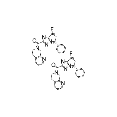 O=C(c1nc2n(n1)[C@@H](c1ccccc1)C[C@H]2F)N1CCc2cccnc2C1.O=C(c1nc2n(n1)[C@@H](c1ccccc1)C[C@H]2F)N1CCc2cccnc2C1